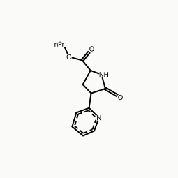 CCCOC(=O)C1CC(c2ccccn2)C(=O)N1